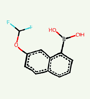 OB(O)c1cccc2ccc(OC(F)F)cc12